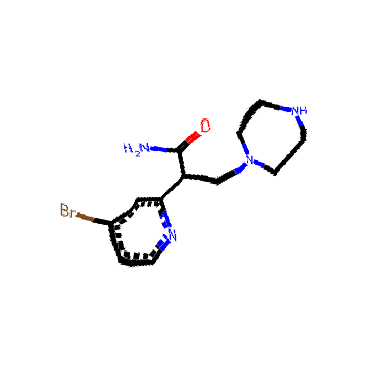 NC(=O)C(CN1CCNCC1)c1cc(Br)ccn1